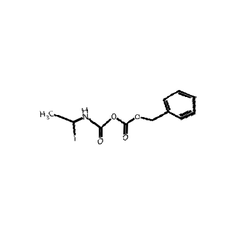 CC(I)NC(=O)OC(=O)OCc1ccccc1